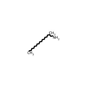 CCCCCCCCCCCCCCCCC(C)CCN